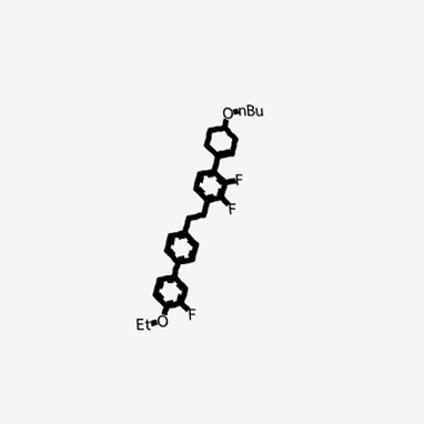 CCCCOC1CC=C(c2ccc(CCc3ccc(-c4ccc(OCC)c(F)c4)cc3)c(F)c2F)CC1